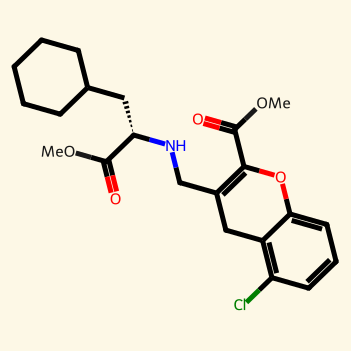 COC(=O)C1=C(CN[C@@H](CC2CCCCC2)C(=O)OC)Cc2c(Cl)cccc2O1